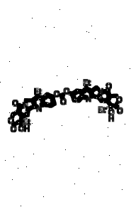 CCc1c2c(nc3ccc(OC(=O)Oc4ccc5nc6c(c(CC)c5c4)Cn4c-6cc5c(c4=O)COC(=O)[C@]5(O)CC)cc13)-c1cc3c(c(=O)n1C2)COC(=O)[C@]3(O)CC